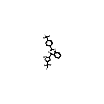 FC(F)(F)c1ccc(-c2nc(-c3cc(C(F)(F)F)n[nH]3)c3ccccc3n2)cc1